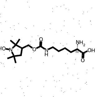 CC1(C)CC(COC(=O)NCCCC[C@H](N)C(=O)O)C(C)(C)N1O